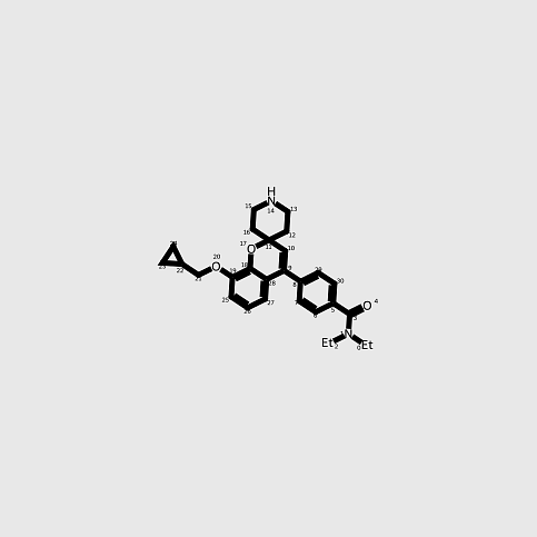 CCN(CC)C(=O)c1ccc(C2=CC3(CCNCC3)Oc3c(OCC4CC4)cccc32)cc1